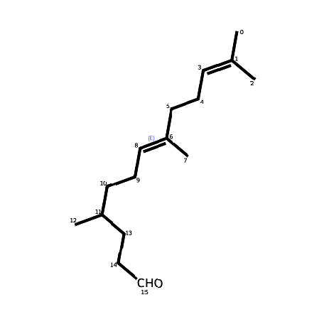 CC(C)=CCC/C(C)=C/CCC(C)CCC=O